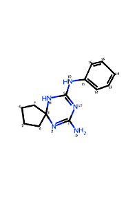 NC1=NC2(CCCC2)NC(Nc2ccccc2)=N1